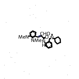 CNc1cccc(/C=C(\C=O)C(=O)Nc2ccccc2CN(C)C2CCCCC2)c1NC